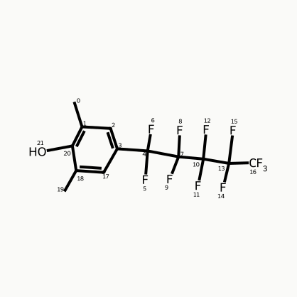 Cc1cc(C(F)(F)C(F)(F)C(F)(F)C(F)(F)C(F)(F)F)cc(C)c1O